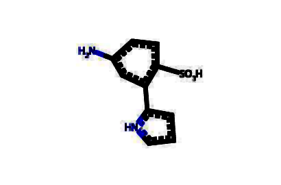 Nc1ccc(S(=O)(=O)O)c(-c2ccc[nH]2)c1